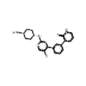 CC(=O)N[C@H]1CC[C@H](Nc2ncc(Cl)c(-c3cccc(-c4ccc[nH]c4=O)c3)n2)CC1